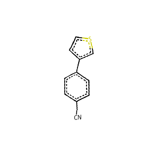 N#Cc1ccc(-c2ccsc2)cc1